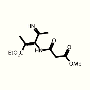 CCOC(=O)/C(C)=C(\NC(=O)CC(=O)OC)C(C)=N